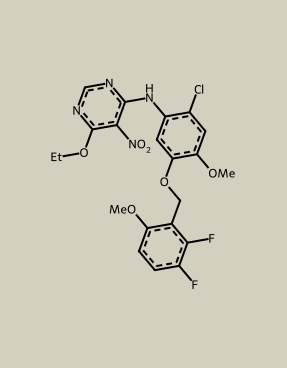 CCOc1ncnc(Nc2cc(OCc3c(OC)ccc(F)c3F)c(OC)cc2Cl)c1[N+](=O)[O-]